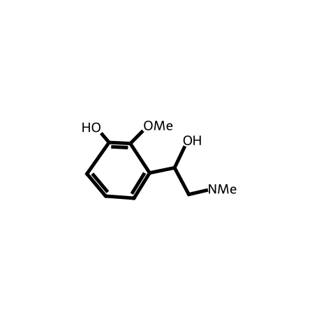 CNCC(O)c1cccc(O)c1OC